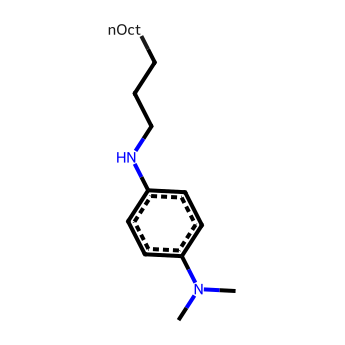 CCCCCCCCCCCNc1ccc(N(C)C)cc1